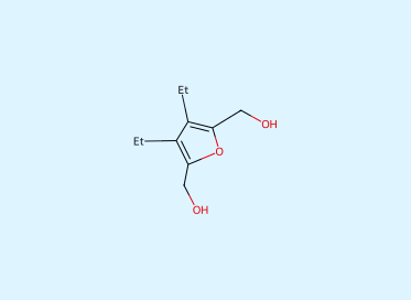 CCc1c(CO)oc(CO)c1CC